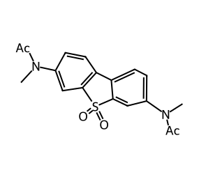 CC(=O)N(C)c1ccc2c(c1)S(=O)(=O)c1cc(N(C)C(C)=O)ccc1-2